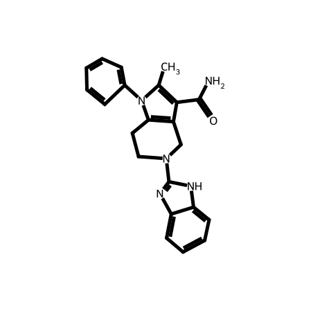 Cc1c(C(N)=O)c2c(n1-c1ccccc1)CCN(c1nc3ccccc3[nH]1)C2